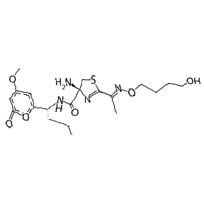 CCC[C@@H](NC(=O)[C@]1(N)CSC(/C(C)=N/OCCCCO)=N1)c1cc(OC)cc(=O)o1